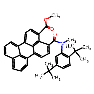 COC(=O)c1ccc2c3cccc4cccc(c5ccc(C(=O)N(C)c6cc(C(C)(C)C)ccc6C(C)(C)C)c1c25)c43